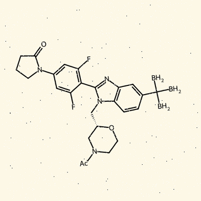 BC(B)(B)c1ccc2c(c1)nc(-c1c(F)cc(N3CCCC3=O)cc1F)n2C[C@H]1CN(C(C)=O)CCO1